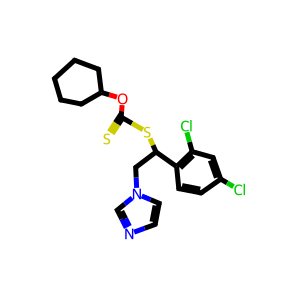 S=C(OC1CCCCC1)SC(Cn1ccnc1)c1ccc(Cl)cc1Cl